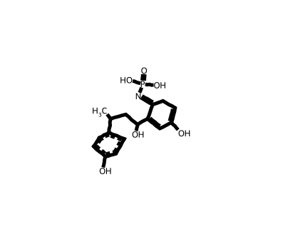 CC(CC(O)C1=CC(O)=CCC1=NP(=O)(O)O)c1ccc(O)cc1